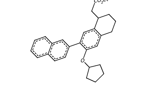 CCOC(=O)CC1CCCc2cc(OC3CCCC3)c(-c3ccc4ccccc4c3)cc21